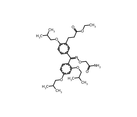 CCOC(=O)CCc1cc(C(=NOCC(N)=O)c2ccc(OCC(C)C)cc2OCC(C)C)ccc1OCC(C)C